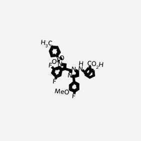 COc1cc(-c2cc(NC3C4CCC(CC4)C3C(=O)O)nc(-c3cn(S(=O)(=O)c4ccc(C)cc4)c4c(F)cc(F)cc34)n2)ccc1F